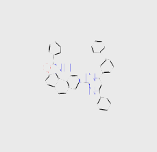 C1=C(c2ccccc2)N=C(c2ccc3c(ccc4ccc5c(c43)NC(c3ccccc3)O5)c2)NC1c1cccc(-c2ccccc2)c1